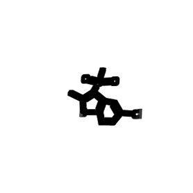 Cc1sc2ccc(Cl)cc2c1S(C)(=O)=O